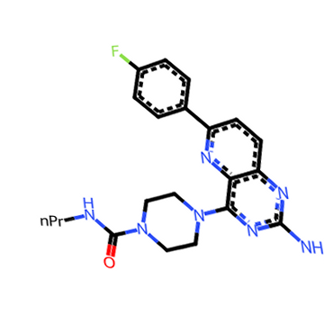 CCCNC(=O)N1CCN(c2nc(N)nc3ccc(-c4ccc(F)cc4)nc23)CC1